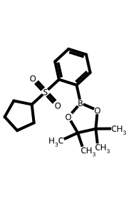 CC1(C)OB(c2ccccc2S(=O)(=O)C2CCCC2)OC1(C)C